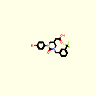 O=C(O)CC1CN(Cc2cccc(C(F)(F)F)c2)C(=O)N(c2ccc(Br)cc2)C1